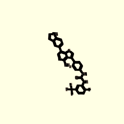 Nc1ncc(-c2ccc3[nH]ccc3c2)c2scc(-c3ccc(NC(=O)Nc4cc(C(F)(F)F)ccc4F)cc3)c12